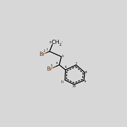 [CH2]C(Br)CC(Br)c1ccccc1